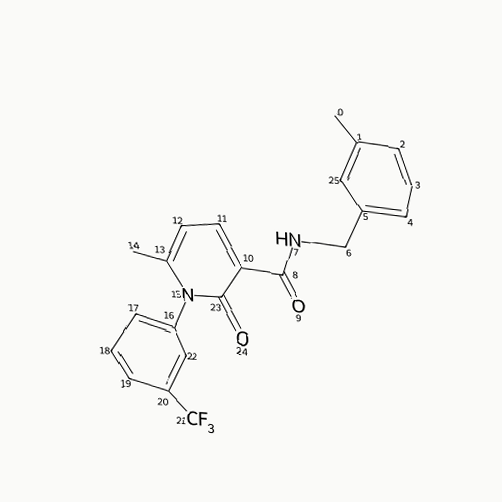 Cc1cccc(CNC(=O)c2ccc(C)n(-c3cccc(C(F)(F)F)c3)c2=O)c1